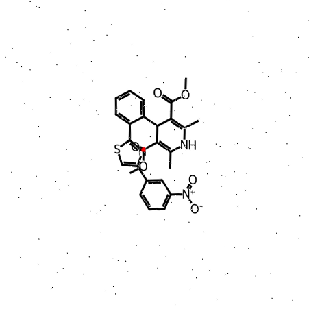 COC(=O)C1=C(C)NC(C)=C(C(=O)OC)C1c1ccccc1-c1nc(-c2cccc([N+](=O)[O-])c2)cs1